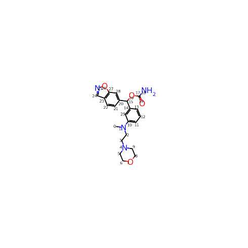 CN(CCN1CCOCC1)c1cccc(C(OC(N)=O)c2ccc3cnoc3c2)c1